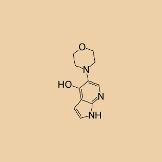 Oc1c(N2CCOCC2)cnc2[nH]ccc12